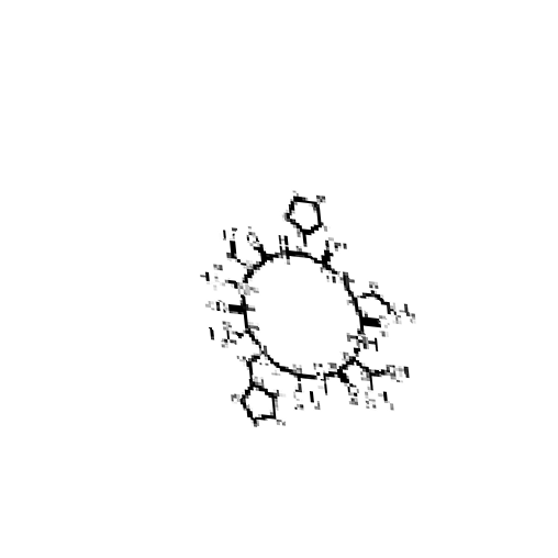 CC(C)C[C@H]1C(=O)N[C@@H](C2CCCC2)C(=O)N[C@@H](CN)C(=O)N[C@@H]([C@H](C)O)C(=O)N[C@H](C)CN(CC2CCCC2)[C@@H](C)C(=O)N1C